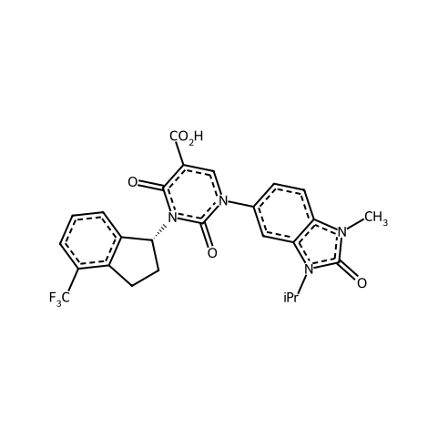 CC(C)n1c(=O)n(C)c2ccc(-n3cc(C(=O)O)c(=O)n([C@@H]4CCc5c4cccc5C(F)(F)F)c3=O)cc21